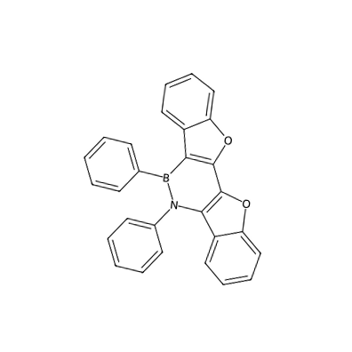 c1ccc(B2c3c(oc4ccccc34)-c3oc4ccccc4c3N2c2ccccc2)cc1